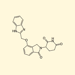 O=C1CCC(N2Cc3c(OCc4nc5ccccc5[nH]4)cccc3C2=O)C(=O)N1